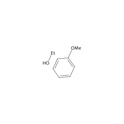 CCO.COc1ccccc1